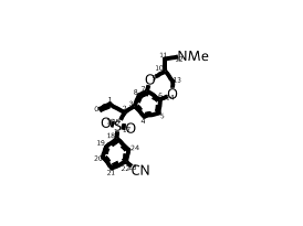 C=CC(c1ccc2c(c1)OC(CNC)CO2)S(=O)(=O)c1cccc(C#N)c1